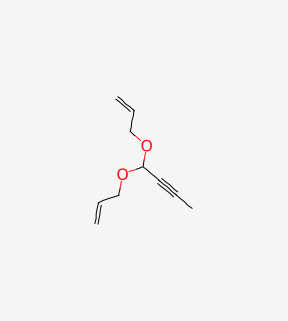 C=CCOC(C#CC)OCC=C